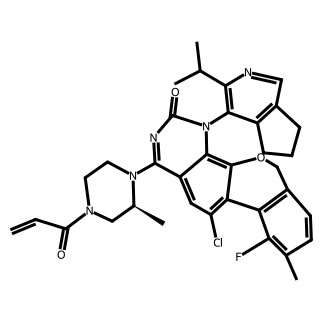 C=CC(=O)N1CCN(c2nc(=O)n(-c3c(C(C)C)ncc4c3CCC4)c3c4c(c(Cl)cc23)-c2c(ccc(C)c2F)CO4)[C@@H](C)C1